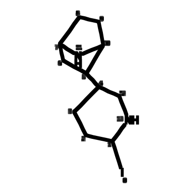 IC1CCC(C2CC3CCC2N3)CN1